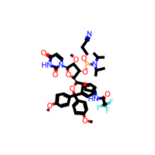 COc1ccc(C(OC(CCCNC(=O)C(F)(F)F)[C@H]2O[C@@H](n3ccc(=O)[nH]c3=O)[C@H](OC)[C@@H]2OP(OCCC#N)N(C(C)C)C(C)C)(c2ccccc2)c2ccc(OC)cc2)cc1